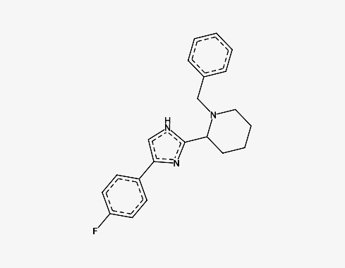 Fc1ccc(-c2c[nH]c(C3CCCCN3Cc3ccccc3)n2)cc1